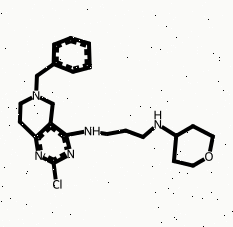 Clc1nc2c(c(NCCCNC3CCOCC3)n1)CN(Cc1ccccc1)CC2